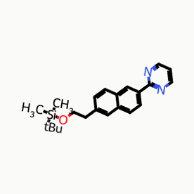 CC(C)(C)[Si](C)(C)OCCc1ccc2cc(-c3ncccn3)ccc2c1